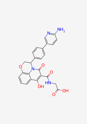 Nc1ccc(-c2ccc(C3COc4cccc5c(O)c(C(=O)NCC(=O)O)c(=O)n3c45)cc2)cn1